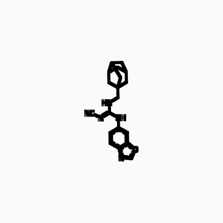 N#C/N=C(\NCC12CC3CC(C1)C(C3)C2)Nc1ccc2ncoc2c1